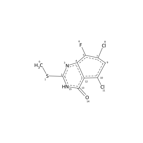 CSc1nc2c(F)c(Cl)cc(Cl)c2c(=O)[nH]1